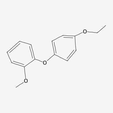 CCOc1ccc(Oc2ccccc2OC)cc1